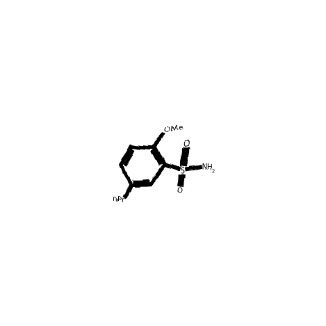 CCCc1ccc(OC)c(S(N)(=O)=O)c1